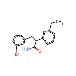 CCc1cccc(C(Cc2cccc(Br)c2)C(N)=O)c1